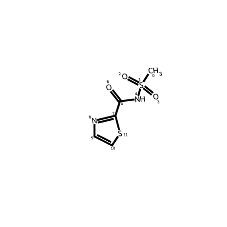 CS(=O)(=O)NC(=O)c1nccs1